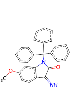 COc1ccc2c(c1)N(C(c1ccccc1)(c1ccccc1)c1ccccc1)C(=O)C2=N